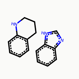 c1ccc2[nH]cnc2c1.c1ccc2c(c1)CCCN2